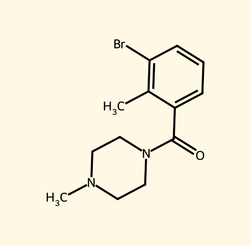 Cc1c(Br)cccc1C(=O)N1CCN(C)CC1